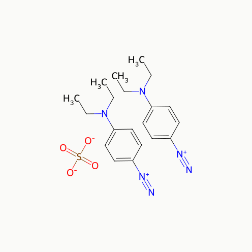 CCN(CC)c1ccc([N+]#N)cc1.CCN(CC)c1ccc([N+]#N)cc1.O=S(=O)([O-])[O-]